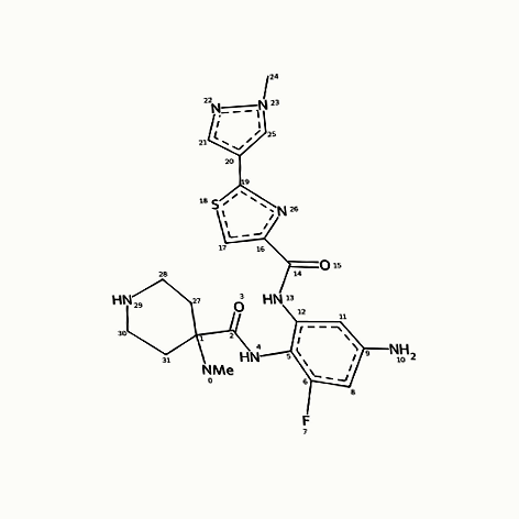 CNC1(C(=O)Nc2c(F)cc(N)cc2NC(=O)c2csc(-c3cnn(C)c3)n2)CCNCC1